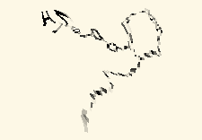 C=COOc1ccccc1CCCCF